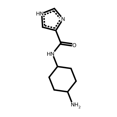 NC1CCC(NC(=O)c2c[nH]cn2)CC1